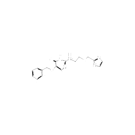 O=c1[nH]c(NCCSCc2ncc[nH]2)ncc1OCc1ccccc1